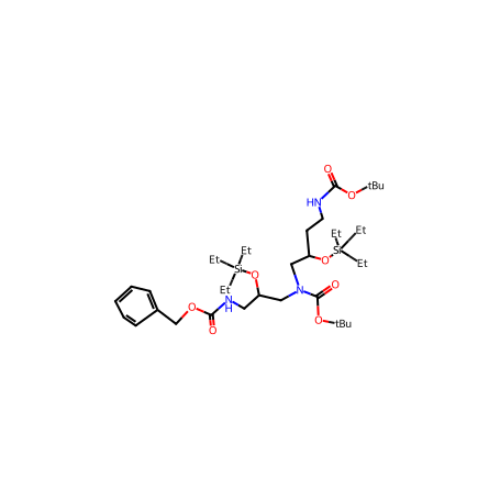 CC[Si](CC)(CC)OC(CCNC(=O)OC(C)(C)C)CN(CC(CNC(=O)OCc1ccccc1)O[Si](CC)(CC)CC)C(=O)OC(C)(C)C